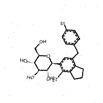 CCc1ccc(Cc2cc([C@@H]3O[C@H](CO)[C@@H](O)[C@H](O)[C@H]3O)c(CC)c3c2CCC3)cc1